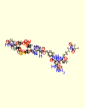 CC1CC(=O)N(CCCCCC(=O)NC(C(=O)NC(CCNC(N)=O)C(=O)Nc2ccc(COC(=O)Nc3ncnc4c3ncn4[C@@H]3O[C@@H]4COP(=O)(S)O[C@H]5[C@@H](F)[C@H](n6ccc(=O)[nH]c6=O)O[C@@H]5COP(=O)(O)O[C@H]4[C@H]3F)cc2)C(C)C)C1=O